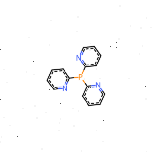 c1ccc(P(c2ccccn2)c2ccccn2)nc1